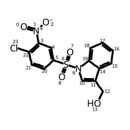 O=[N+]([O-])c1cc(S(=O)(=O)n2cc(CO)c3ccccc32)ccc1Cl